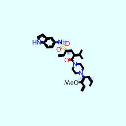 C=C/C(OC)=C(\C=C/C)N1CCN(C(=O)C(/C=C(\C=C)S(=O)(=O)Nc2ccc3[nH]ccc3c2)=C(C)C)CC1